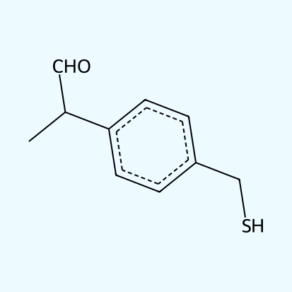 CC(C=O)c1ccc(CS)cc1